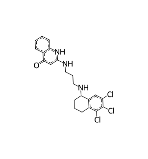 O=c1cc(NCCCNC2CCCc3c2cc(Cl)c(Cl)c3Cl)[nH]c2ccccc12